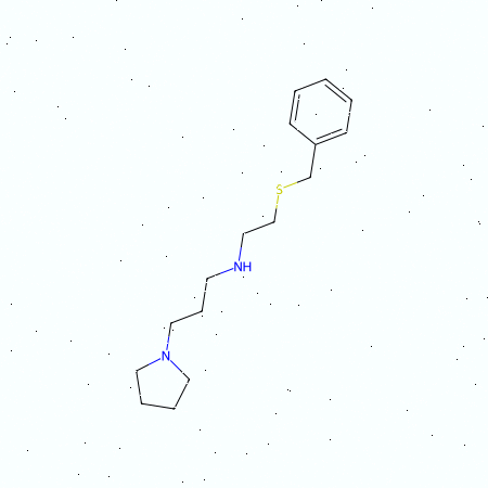 c1ccc(CSCCNCCCN2CCCC2)cc1